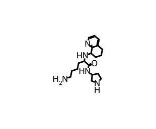 NCCCCC(NC1CCCc2cccnc21)C(=O)NC1CCNC1